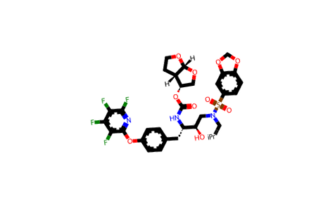 CC(C)CN(C[C@@H](O)[C@H](Cc1ccc(Oc2nc(F)c(F)c(F)c2F)cc1)NC(=O)O[C@H]1CO[C@H]2OCC[C@H]21)S(=O)(=O)c1ccc2c(c1)OCO2